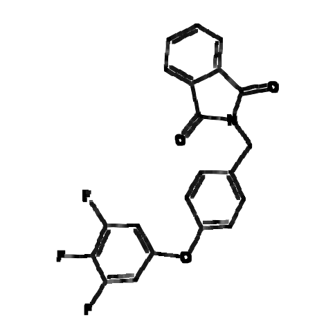 O=C1c2ccccc2C(=O)N1Cc1ccc(Oc2cc(F)c(F)c(F)c2)cc1